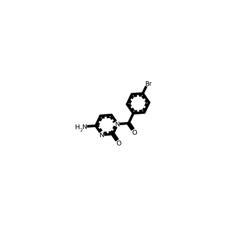 Nc1ccn(C(=O)c2ccc(Br)cc2)c(=O)n1